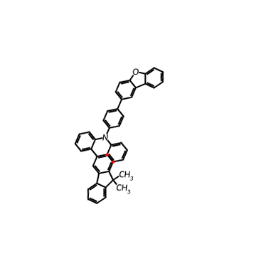 CC1(C)c2ccccc2-c2cc(-c3ccccc3N(c3ccccc3)c3ccc(-c4ccc5oc6ccccc6c5c4)cc3)ccc21